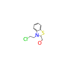 O=CC1Sc2ccccc2N1CCCl